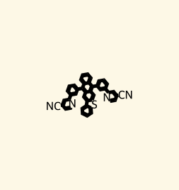 N#Cc1ccnc(-c2cccc(-c3c4ccccc4c(-c4cccc(-c5cc(C#N)ccn5)c4)c4cc5c(cc34)sc3ccccc35)c2)c1